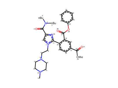 CCCCN(CCCC)C(=O)c1cn(CCN2CCN(C)CC2)c(-c2ccc(C(=O)OC)cc2C(=O)Oc2ccccc2)n1